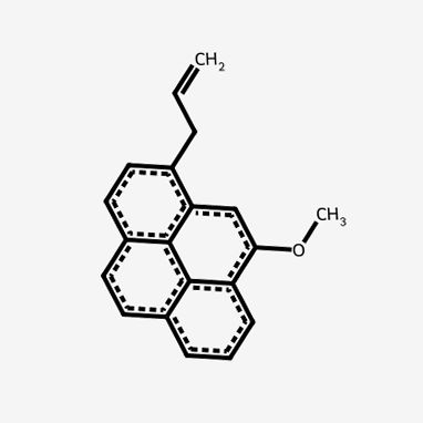 C=CCc1ccc2ccc3cccc4c(OC)cc1c2c34